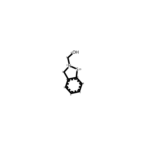 OCN1Cc2ccccc2S1